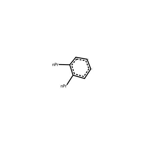 CCCc1c[c][c]cc1CCC